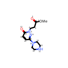 COC(=O)CCn1nc(N2CCNCC2)ccc1=O